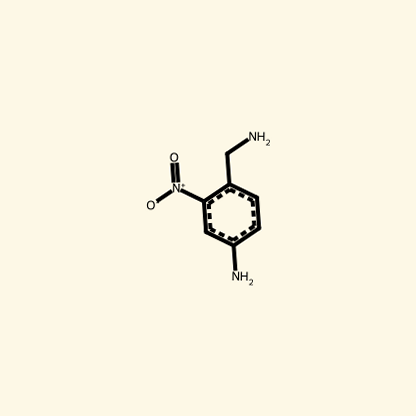 NCc1ccc(N)cc1[N+](=O)[O-]